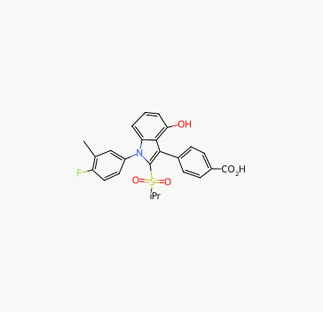 Cc1cc(-n2c(S(=O)(=O)C(C)C)c(-c3ccc(C(=O)O)cc3)c3c(O)cccc32)ccc1F